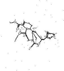 COC(=O)C1=CCC[C@H]2[C@]3(C)CC(c4ccoc4)OC(=O)C3CC(OC)[C@@]12C